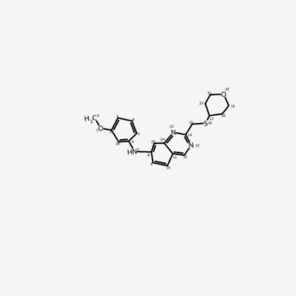 COc1cccc(Nc2ccc3cnc(CSC4CCOCC4)nc3c2)c1